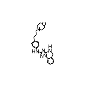 c1ccc2c(c1)CNc1nc(Nc3ccc(CCCN4CCOCC4)cc3)nn1-2